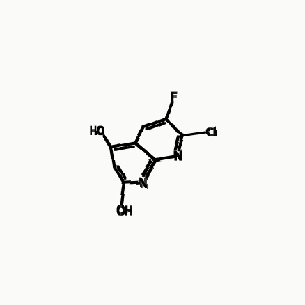 Oc1cc(O)c2cc(F)c(Cl)nc2n1